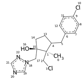 C[C@@]1(CCl)C(Cc2ccc(Cl)cc2)CC[C@@]1(O)Cn1cncn1